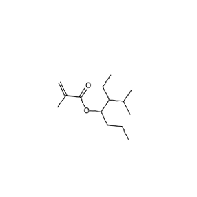 C=C(C)C(=O)OC(CCC)C(CC)C(C)C